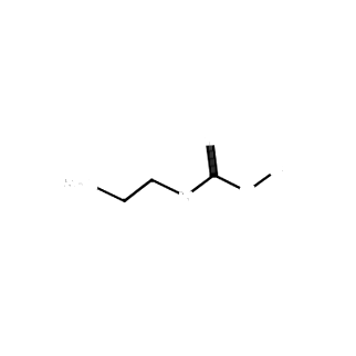 CCCOC(=O)NCCOC